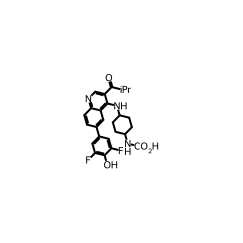 CC(C)C(=O)c1cnc2ccc(-c3cc(F)c(O)c(F)c3)cc2c1NC1CCC(NC(=O)O)CC1